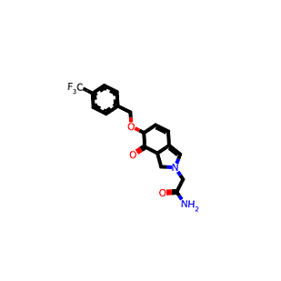 NC(=O)CN1C=C2C=CC(OCc3ccc(C(F)(F)F)cc3)C(=O)C2C1